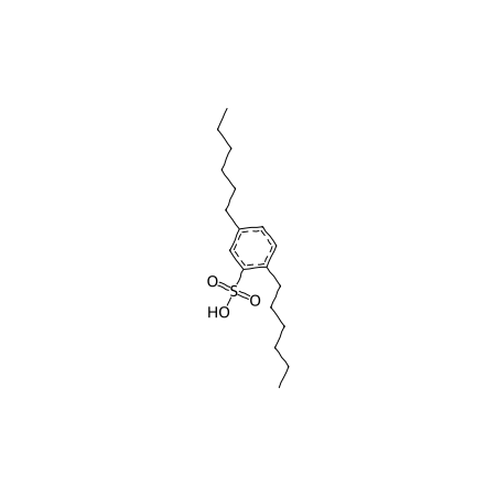 CCCCCCc1ccc(CCCCCC)c(S(=O)(=O)O)c1